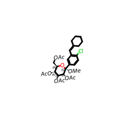 CO[C@@]1(c2ccc(Cl)c(C=C3CCCCC3)c2)O[C@H](COC(C)=O)[C@@H](OC(C)=O)[C@H](OC(C)=O)[C@H]1OC(C)=O